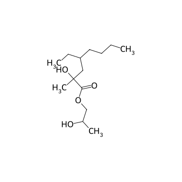 CCCCC(CC)CC(C)(O)C(=O)OCC(C)O